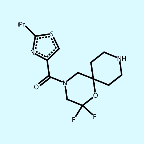 CC(C)c1nc(C(=O)N2CC(F)(F)OC3(CCNCC3)C2)cs1